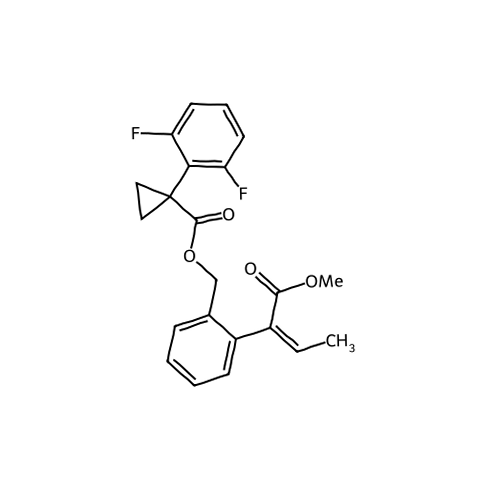 CC=C(C(=O)OC)c1ccccc1COC(=O)C1(c2c(F)cccc2F)CC1